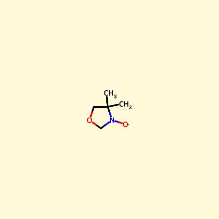 CC1(C)COCN1[O]